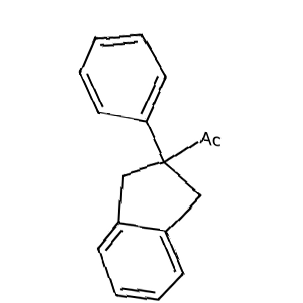 CC(=O)C1(c2ccccc2)Cc2ccccc2C1